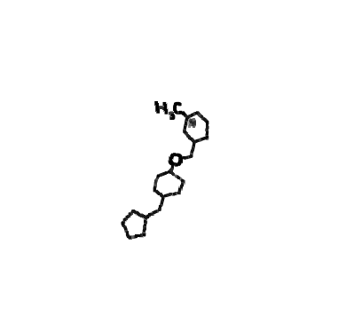 C[C@H]1CCCC(COC2CCC(CC3CCCC3)CC2)C1